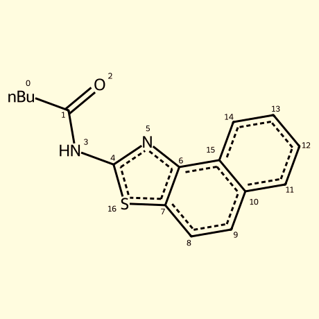 CCCCC(=O)Nc1nc2c(ccc3ccccc32)s1